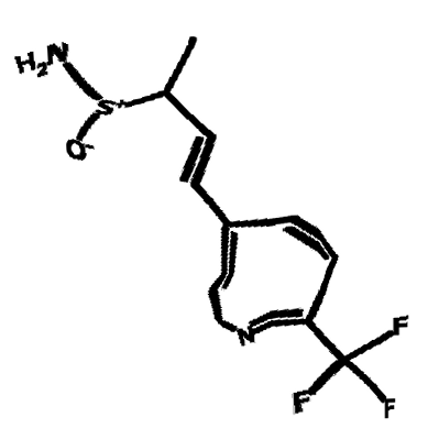 CC(C=Cc1ccc(C(F)(F)F)nc1)[S+](N)[O-]